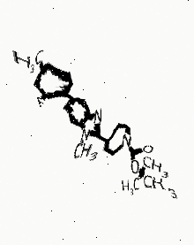 Cc1ccc(-c2ccc3c(c2)nc(C2CCN(C(=O)OC(C)(C)C)CC2)n3C)c(F)c1